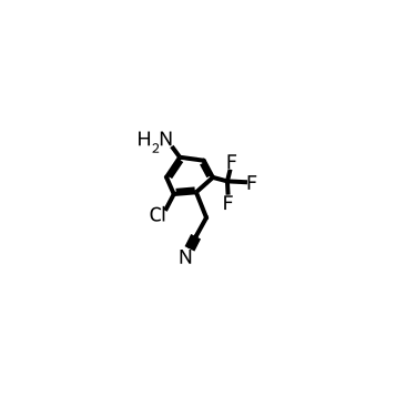 N#CCc1c(Cl)cc(N)cc1C(F)(F)F